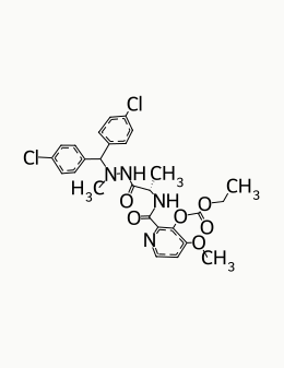 CCOC(=O)Oc1c(OC)ccnc1C(=O)N[C@@H](C)C(=O)NN(C)C(c1ccc(Cl)cc1)c1ccc(Cl)cc1